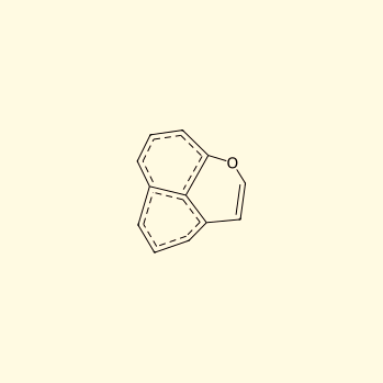 C1=Cc2cccc3cccc(c23)O1